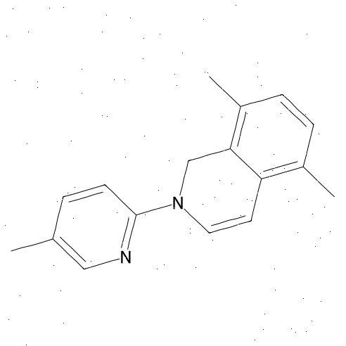 Cc1ccc(N2C=Cc3c(C)ccc(C)c3C2)nc1